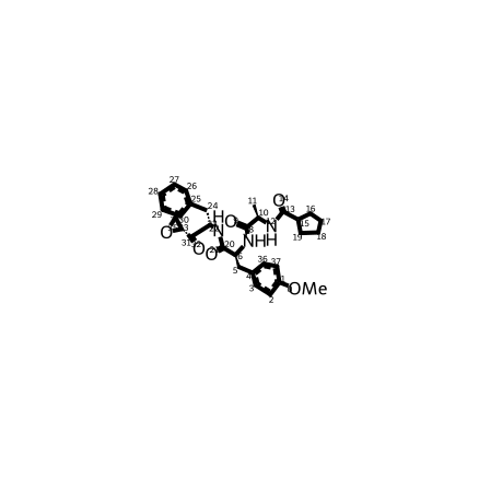 COc1ccc(C[C@H](NC(=O)[C@@H](C)NC(=O)C2CCCC2)C(=O)N[C@@H](Cc2ccccc2)C(=O)[C@H]2CO2)cc1